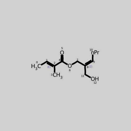 C/C=C(\C)C(=O)OC/C(=C\CCC)CO